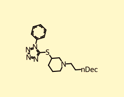 CCCCCCCCCCCCN1CCCC(Sc2nnnn2-c2ccccc2)C1